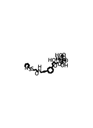 O=C(CCSSc1ccccn1)NCC#CC1=C/C=C\C=C(C2CC(O)C(COP(=O)(O)OP(=O)(O)OP(=O)(O)O)O2)/C=C\1